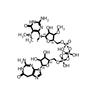 COC1C(O)[C@H](N(I)c2nc(N)[nH]c(=O)c2N(C)C)O[C@@H]1COP(=O)(O)OP(=O)(O)OP(=O)(O)OC[C@H]1O[C@@H](n2cnc3c2N=C(N)NC(=O)C3)C(O)C1O